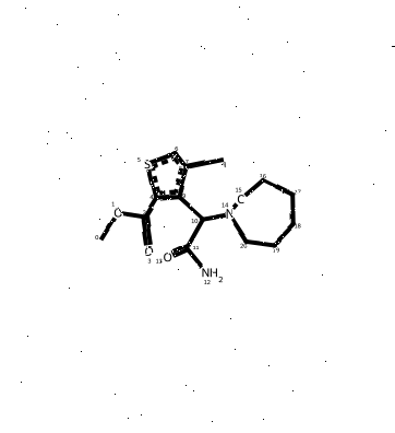 COC(=O)c1scc(C)c1C(C(N)=O)N1CCCCCC1